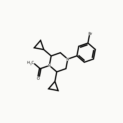 CC(=O)N1C(C2CC2)CN(c2cccc(Br)c2)CC1C1CC1